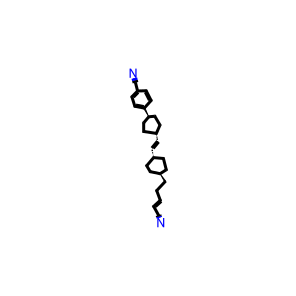 N#CC=CCC[C@H]1CC[C@H](C=C[C@H]2CC[C@H](c3ccc(C#N)cc3)CC2)CC1